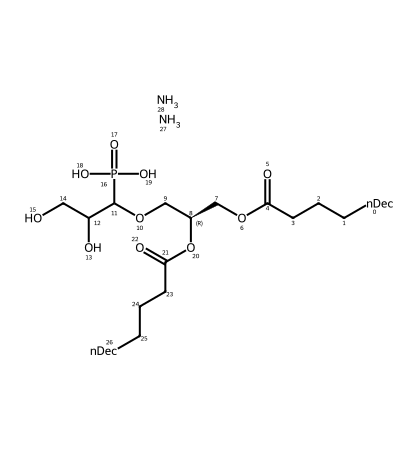 CCCCCCCCCCCCCC(=O)OC[C@H](COC(C(O)CO)P(=O)(O)O)OC(=O)CCCCCCCCCCCCC.N.N